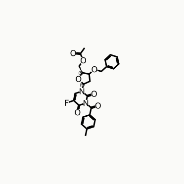 CC(=O)OC[C@@H]1O[C@H](n2cc(F)c(=O)n(C(=O)c3ccc(C)cc3)c2=O)CC1OCc1ccccc1